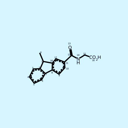 CC1c2ccccc2-c2ccc(C(=O)NCC(=O)O)cc21